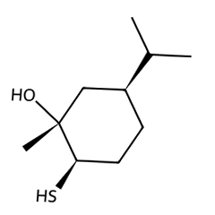 CC(C)[C@H]1CC[C@@H](S)[C@](C)(O)C1